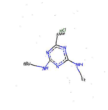 CCNc1nc(NC(C)(C)C)nc(SC)n1.Cl